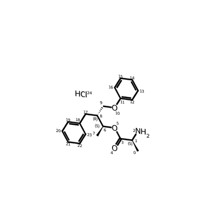 C[C@H](N)C(=O)O[C@@H](C)[C@@H](COc1ccccc1)Cc1ccccc1.Cl